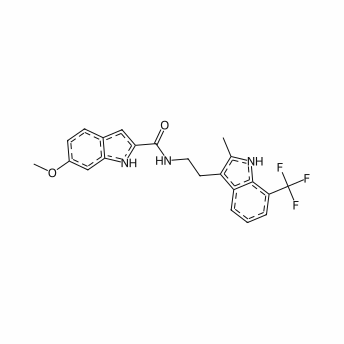 COc1ccc2cc(C(=O)NCCc3c(C)[nH]c4c(C(F)(F)F)cccc34)[nH]c2c1